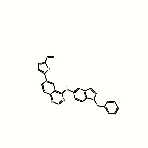 O=Cc1ccc(-c2ccc3ncnc(Nc4ccc5c(cnn5Cc5ccccc5)c4)c3c2)o1